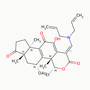 C=CCN(/C=C1/C(=O)O[C@H](CC)[C@@]2(C)C1=C(O)C(=O)C1=C2[C@H](OC(C)=O)C[C@]2(C)C(=O)CC[C@@]12C)CC=C